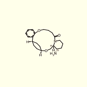 N[C@H]1CCCN2C(=O)CCCOc3ccccc3[C@H]3CC[C@H](CC3)OC[C@@H]12